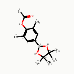 CCC(=O)Oc1c(C)cc(B2OC(C)(C)C(C)(C)O2)cc1CC